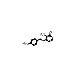 COc1ccc(CNc2ccnc(Cl)c2[N+](=O)[O-])cc1